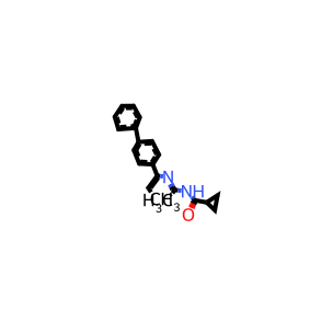 C/C=C(\N=C(/C)NC(=O)C1CC1)c1ccc(-c2ccccc2)cc1